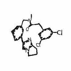 CN(Cc1cccc(-c2cn3c(n2)CCC3)c1)C(=O)Cc1cc(Cl)cc(Cl)c1